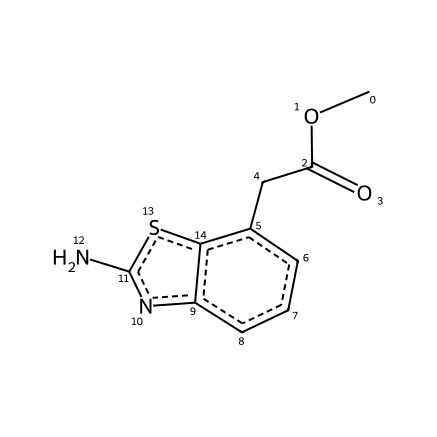 COC(=O)Cc1cccc2nc(N)sc12